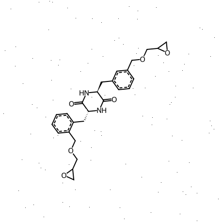 O=C1N[C@H](Cc2ccccc2COCC2CO2)C(=O)N[C@H]1Cc1cccc(COCC2CO2)c1